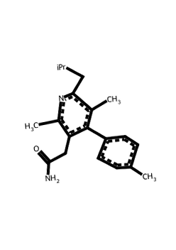 Cc1ccc(-c2c(C)c(CC(C)C)nc(C)c2CC(N)=O)cc1